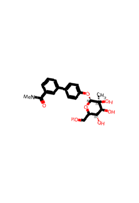 CNC(=O)c1cccc(-c2ccc(O[C@H]3OC(CO)[C@@H](O)C(O)[C@]3(C)O)cc2)c1